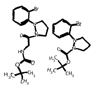 CC(C)(C)OC(=O)N1CCCN1c1ccccc1Br.CC(C)(C)OC(=O)NCC(=O)N1CCCN1c1ccccc1Br